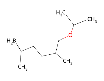 BC(C)CCC(C)COC(C)C